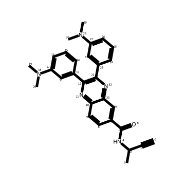 C#CC(C)NC(=O)c1ccc2nc(-c3cccc(N(C)C)c3)c(-c3cccc(N(C)C)c3)nc2c1